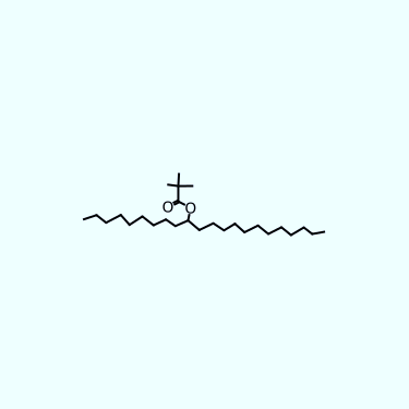 CCCCCCCCCCCCC(CCCCCCCCC)OC(=O)C(C)(C)C